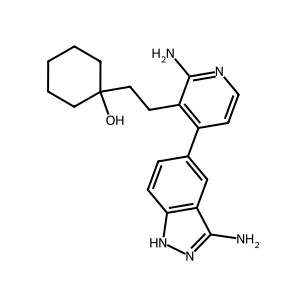 Nc1nccc(-c2ccc3[nH]nc(N)c3c2)c1CCC1(O)CCCCC1